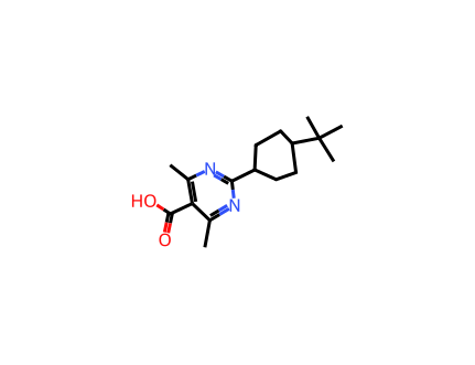 Cc1nc(C2CCC(C(C)(C)C)CC2)nc(C)c1C(=O)O